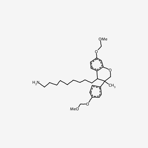 COCOc1ccc(C2(C)COc3cc(OCOC)ccc3C2CCCCCCCCCN)cc1